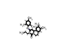 Cc1cc(C)c(/N=c2\cc3n(c(=O)n2CCN)CCc2cc(C)c(C)cc2-3)c(C)c1